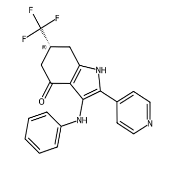 O=C1C[C@H](C(F)(F)F)Cc2[nH]c(-c3ccncc3)c(Nc3ccccc3)c21